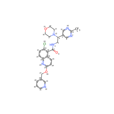 O=C(NCC(c1cnc(C(F)(F)F)nc1)N1CCOCC1)c1c(Cl)ccc2nc(OCc3cccnc3)ccc12